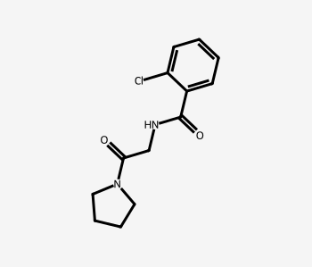 O=C(NCC(=O)N1CCCC1)c1ccccc1Cl